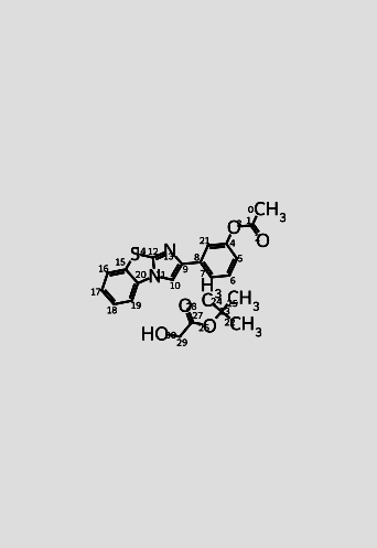 CC(=O)Oc1cccc(-c2cn3c(n2)sc2ccccc23)c1.CC(C)(C)OC(=O)CO